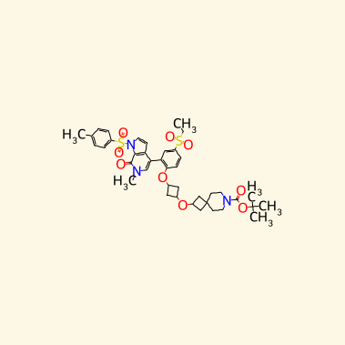 CCS(=O)(=O)c1ccc(OC2CC(OC3CC4(CCN(C(=O)OC(C)(C)C)CC4)C3)C2)c(-c2cn(C)c(=O)c3c2ccn3S(=O)(=O)c2ccc(C)cc2)c1